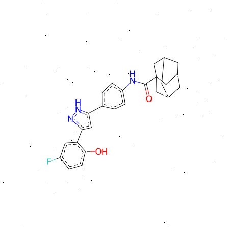 O=C(Nc1ccc(-c2cc(-c3cc(F)ccc3O)n[nH]2)cc1)C12CC3CC(CC(C3)C1)C2